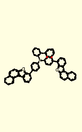 c1ccc(-c2ccccc2N(c2ccc(-c3cccc4c3oc3ccc5ccccc5c34)cc2)c2ccc(-c3cccc4c3oc3ccc5ccccc5c34)cc2)cc1